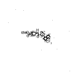 C[C@@H]1CN(c2ccc(C(F)(F)F)c3ncccc23)C[C@H](C(=O)NC2CC3CC(C2)CN(C(=O)OC(C)(C)C)C3)O1